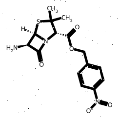 CC1(C)S[C@@H]2[C@H](N)C(=O)N2[C@H]1C(=O)OCc1ccc([N+](=O)[O-])cc1